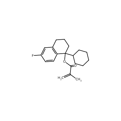 C=C(C)C(=O)OC1(C2CCCCC2)CCCc2cc(F)ccc21